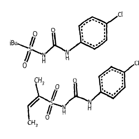 C/C=C(/C)S(=O)(=O)NC(=O)Nc1ccc(Cl)cc1.CCC(C)S(=O)(=O)NC(=O)Nc1ccc(Cl)cc1